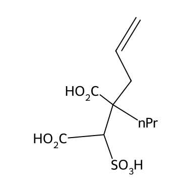 C=CCC(CCC)(C(=O)O)C(C(=O)O)S(=O)(=O)O